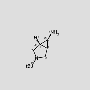 CC(C)(C)N1CC2[C@H](N)[C@H]2C1